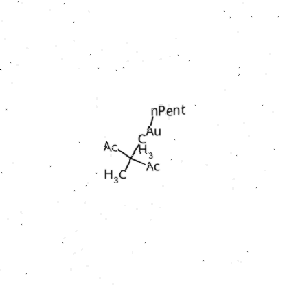 CC(=O)C(C)(C)C(C)=O.CCCC[CH2][Au]